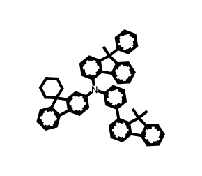 CC1(C)c2ccccc2-c2cccc(-c3cccc(N(c4ccc5c(c4)C4(CCCCC4)c4ccccc4-5)c4cccc5c4-c4ccccc4C5(C)c4ccccc4)c3)c21